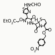 CCOC(=O)CON=C(C(=O)NC1C(=O)N2C(C(=O)OCc3ccc([N+](=O)[O-])cc3)=CCS[C@@H]12)c1csc(NC=O)n1